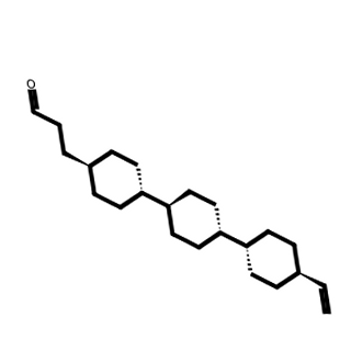 C=C[C@H]1CC[C@H]([C@H]2CC[C@H]([C@H]3CC[C@H](CCC=O)CC3)CC2)CC1